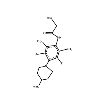 COC1CCN(c2c(F)c(C)c(NC(=O)CC(C)(C)C)c(C)c2F)CC1